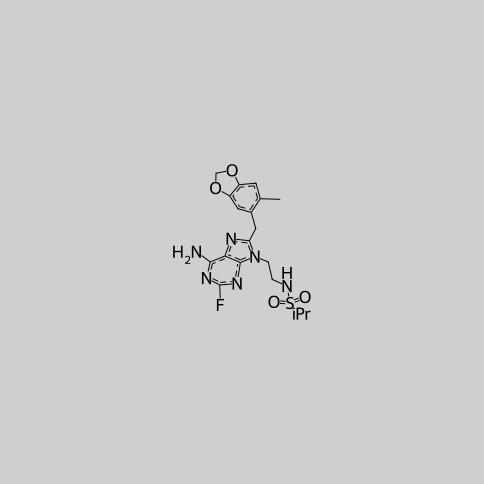 Cc1cc2c(cc1Cc1nc3c(N)nc(F)nc3n1CCNS(=O)(=O)C(C)C)OCO2